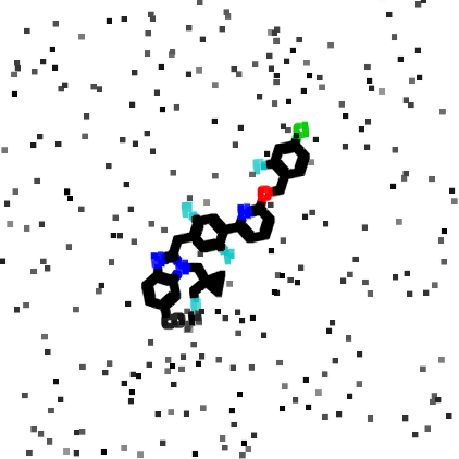 O=C(O)c1ccc2nc(Cc3cc(F)c(-c4cccc(OCc5ccc(Cl)cc5F)n4)cc3F)n(CC3(CF)CC3)c2c1